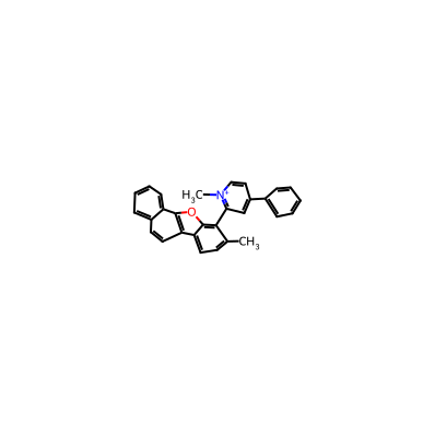 Cc1ccc2c(oc3c4ccccc4ccc23)c1-c1cc(-c2ccccc2)cc[n+]1C